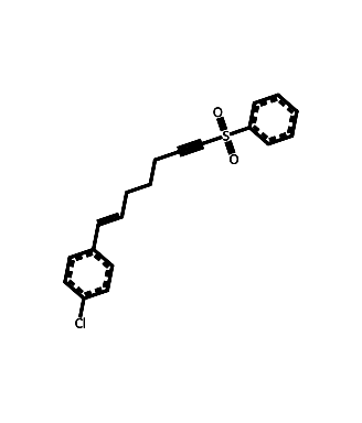 O=S(=O)(C#CCCC/C=C/c1ccc(Cl)cc1)c1ccccc1